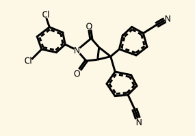 N#Cc1ccc(C2(c3ccc(C#N)cc3)C3C(=O)N(c4cc(Cl)cc(Cl)c4)C(=O)C32)cc1